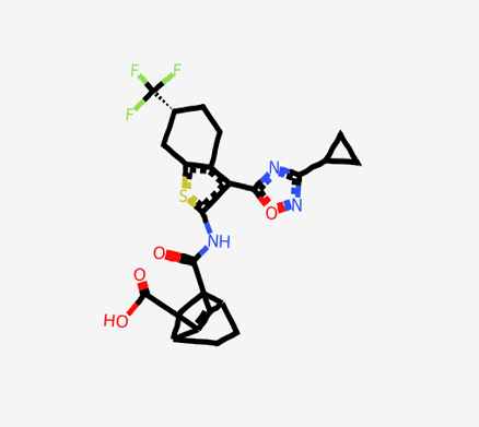 O=C(O)C1=C(C(=O)Nc2sc3c(c2-c2nc(C4CC4)no2)CC[C@@H](C(F)(F)F)C3)C2CCC1CC2